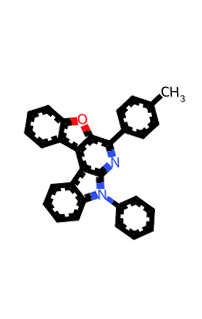 Cc1ccc(-c2nc3c(c4ccccc4n3-c3ccccc3)c3c2oc2ccccc23)cc1